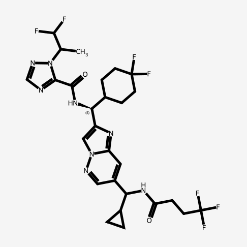 CC(C(F)F)n1ncnc1C(=O)N[C@H](c1cn2ncc(C(NC(=O)CCC(F)(F)F)C3CC3)cc2n1)C1CCC(F)(F)CC1